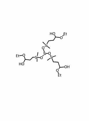 CCOC(O)CC[Si](C)(C)O[Si](O[Si](C)(C)CCC(O)OCC)O[Si](C)(C)CCC(O)OCC